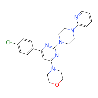 Clc1ccc(-c2cc(N3CCOCC3)nc(N3CCN(c4ccccn4)CC3)n2)cc1